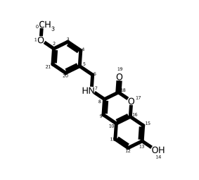 COc1ccc(CNc2cc3ccc(O)cc3oc2=O)cc1